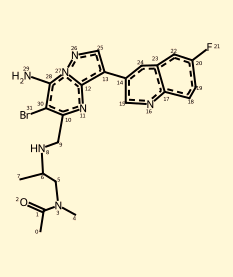 CC(=O)N(C)CC(C)NCc1nc2c(-c3cnc4ccc(F)cc4c3)cnn2c(N)c1Br